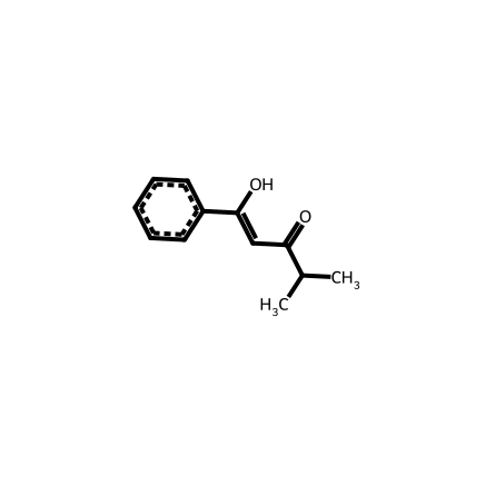 CC(C)C(=O)/C=C(\O)c1ccccc1